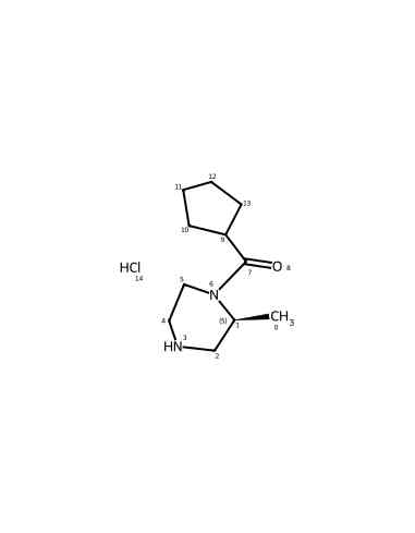 C[C@H]1CNCCN1C(=O)C1CCCC1.Cl